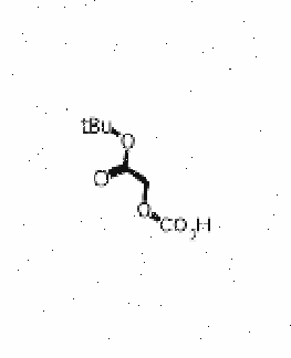 CC(C)(C)OC(=O)COC(=O)O